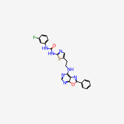 O=C(Nc1cccc(F)c1)Nc1ncc(CCNc2ncnc3oc(-c4ccccc4)nc23)s1